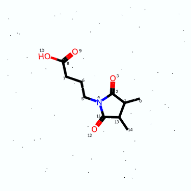 CC1C(=O)N(CCCC(=O)O)C(=O)C1C